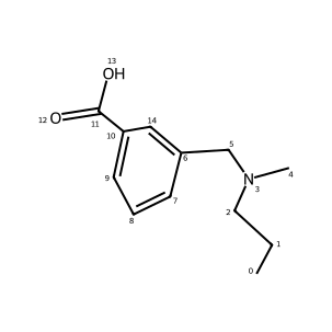 CCCN(C)Cc1cccc(C(=O)O)c1